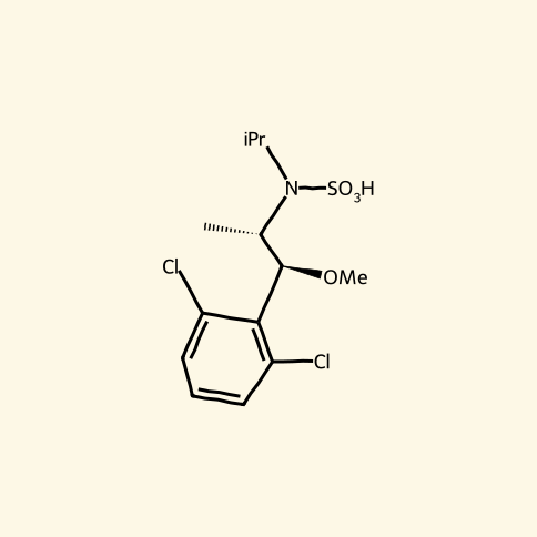 CO[C@@H](c1c(Cl)cccc1Cl)[C@H](C)N(C(C)C)S(=O)(=O)O